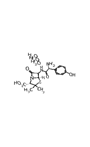 CC1(C)S[C@@H]2C(NC(=O)C(N)c3ccc(O)cc3)C(=O)N2[C@H]1C(=O)O.O.O.O